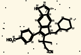 CC(C)(CC#N)c1c(-c2ccc(C(=O)O)cc2)c2cc3[nH]ncc3cc2n1CC1CCCCC1